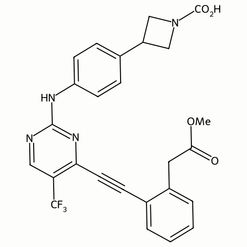 COC(=O)Cc1ccccc1C#Cc1nc(Nc2ccc(C3CN(C(=O)O)C3)cc2)ncc1C(F)(F)F